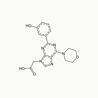 O=C(O)Cn1cnc2c(N3CCOCC3)nc(-c3cccc(O)c3)nc21